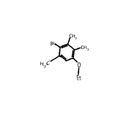 CCOc1cc(C)c(Br)c(C)c1C